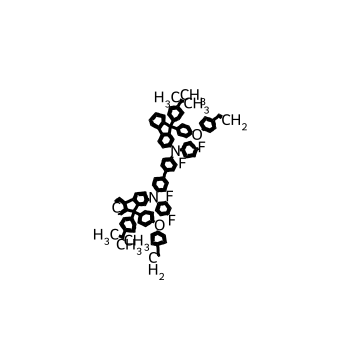 C=Cc1ccc(Oc2ccc(C3(c4ccc(C(C)(C)C)cc4)c4ccccc4-c4ccc(N(c5ccc(-c6ccc(N(c7ccc8c(c7)C(c7ccc(Oc9ccc(C=C)cc9)cc7)(c7ccc(C(C)(C)C)cc7)c7ccccc7-8)c7ccc(F)cc7F)cc6)cc5)c5ccc(F)cc5F)cc43)cc2)cc1